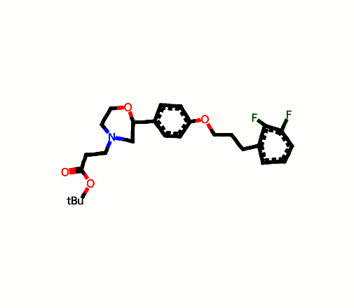 CC(C)(C)OC(=O)CCN1CCOC(c2ccc(OCCCc3cccc(F)c3F)cc2)C1